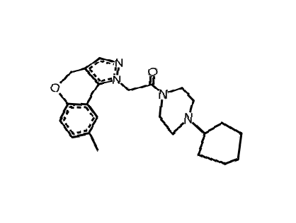 Cc1ccc2c(c1)-c1c(cnn1CC(=O)N1CCN(C3CCCCC3)CC1)CO2